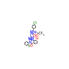 O=C(Nc1ccccc1F)c1ccccc1-n1cnc(Cn2nc(-c3ccc(Cl)cc3)n(CC(O)C(F)(F)F)c2=O)n1